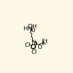 CCC(C)(C)CC(=O)c1cn(CCCCCC(=O)NO)c2c(Cl)cc(Cl)cc12